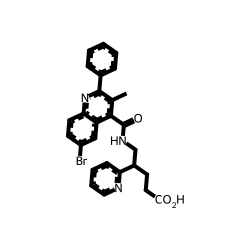 Cc1c(-c2ccccc2)nc2ccc(Br)cc2c1C(=O)NCC(CCC(=O)O)c1ccccn1